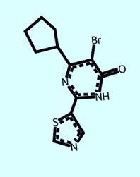 O=c1[nH]c(-c2cncs2)nc(C2CCCC2)c1Br